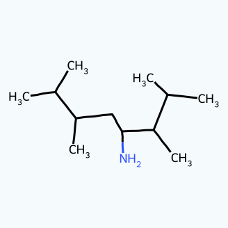 CC(C)C(C)CC(N)C(C)C(C)C